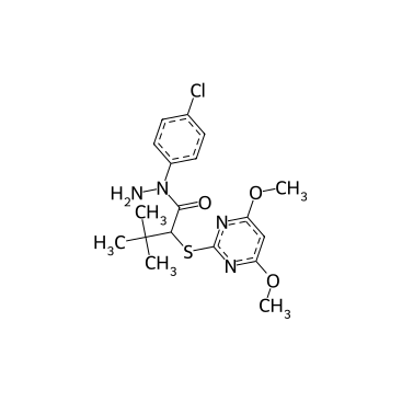 COc1cc(OC)nc(SC(C(=O)N(N)c2ccc(Cl)cc2)C(C)(C)C)n1